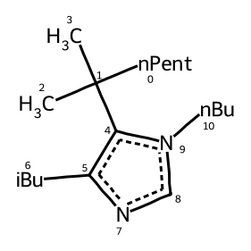 CCCCCC(C)(C)c1c(C(C)CC)ncn1CCCC